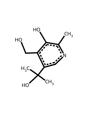 Cc1ncc(C(C)(C)O)c(CO)c1O